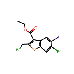 CCOC(=O)c1c(CBr)sc2cc(Br)c(I)cc12